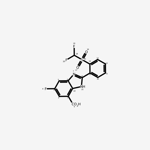 O=C(O)c1cc(F)cc2nc(-c3ccccc3S(=O)(=O)C(F)F)[nH]c12